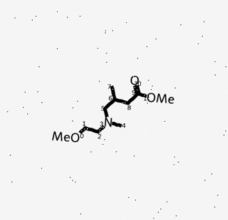 COCCN(C)CC(C)CC(=O)OC